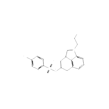 O=C(O)CCN1CC2CC(NS(=O)(=O)c3ccc(F)cc3)Cc3cccc1c32